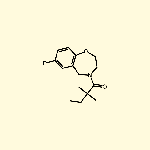 CCC(C)(C)C(=O)N1CCOc2ccc(F)cc2C1